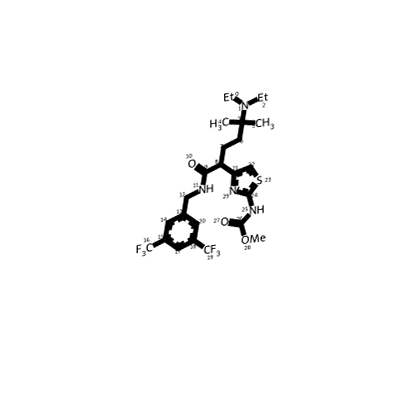 CCN(CC)C(C)(C)CCC(C(=O)NCc1cc(C(F)(F)F)cc(C(F)(F)F)c1)c1csc(NC(=O)OC)n1